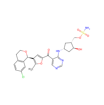 Cc1oc(C(=O)c2cncnc2N[C@@H]2C[C@H](COS(N)(=O)=O)[C@@H](O)C2)cc1[C@@H]1OCCc2ccc(Cl)cc21